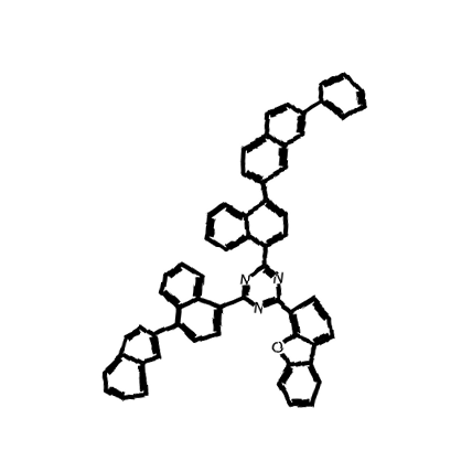 c1ccc(-c2ccc3ccc(-c4ccc(-c5nc(-c6ccc(-c7ccc8ccccc8c7)c7ccccc67)nc(-c6cccc7c6oc6ccccc67)n5)c5ccccc45)cc3c2)cc1